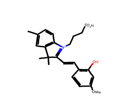 COc1ccc(/C=C/C2=[N+](CCCS(=O)(=O)O)c3ccc(C)cc3C2(C)C)c(O)c1